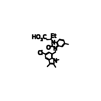 CCC(CC(=O)O)n1c(=O)n(Cc2cc(Cl)cc3c(C)c(C)n(C)c23)c2cc(C)ccc21